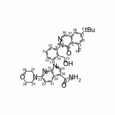 CC(C)(C)c1cc(F)c2c(=O)n(-c3cccc(-n4cc(C(N)=O)c5ccc(N6CCOCC6)nc54)c3CO)ncc2c1